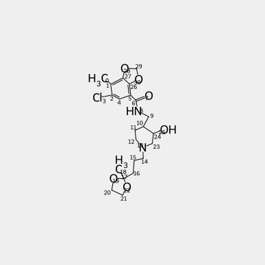 Cc1c(Cl)cc(C(=O)NCC2CCN(CCCC3(C)OCCO3)CC2O)c2c1OCO2